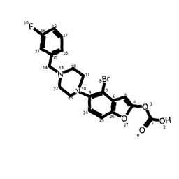 O=C(O)Oc1cc2c(Br)c(N3CCN(Cc4cccc(F)c4)CC3)ccc2o1